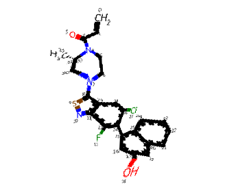 C=CC(=O)N1CCN(c2snc3c(F)c(-c4cc(O)cc5ccccc45)c(Cl)cc23)C[C@@H]1C